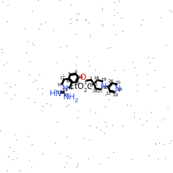 CCOC(=O)C1(CCOc2ccc3c(c2)CN(C(=N)N)CC3)CCN(c2ccncc2)CC1